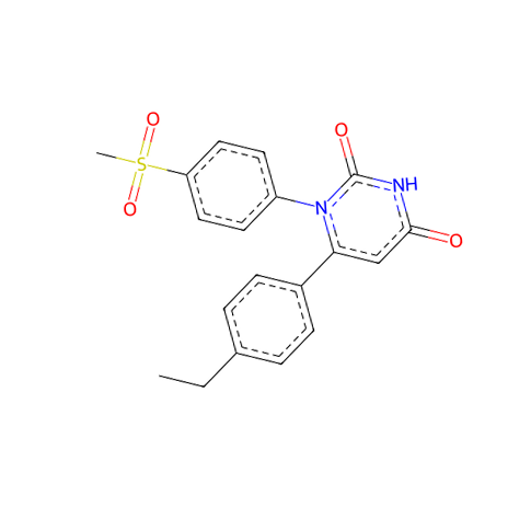 CCc1ccc(-c2cc(=O)[nH]c(=O)n2-c2ccc(S(C)(=O)=O)cc2)cc1